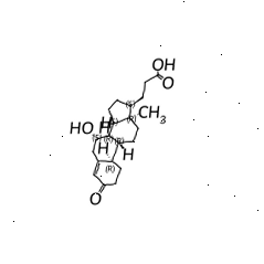 C[C@]12CC[C@H]3[C@@H]([C@@H](O)CC4=CC(=O)CC[C@@H]43)[C@@H]1CC[C@H]2CCC(=O)O